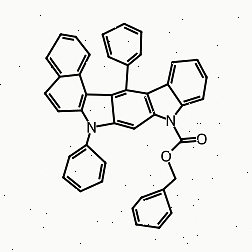 O=C(OCc1ccccc1)n1c2ccccc2c2c(-c3ccccc3)c3c4c5ccccc5ccc4n(-c4ccccc4)c3cc21